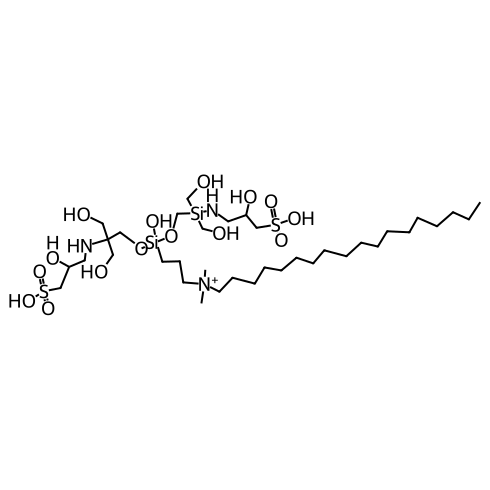 CCCCCCCCCCCCCCCCCC[N+](C)(C)CCC[Si](O)(OCC(CO)(CO)NCC(O)CS(=O)(=O)O)OC[Si](CO)(CO)NCC(O)CS(=O)(=O)O